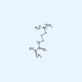 C=C(CC)C(=O)OCCCN(C)C